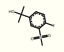 CC(C)(O)c1ccc(F)c(S(C)(=O)=O)c1